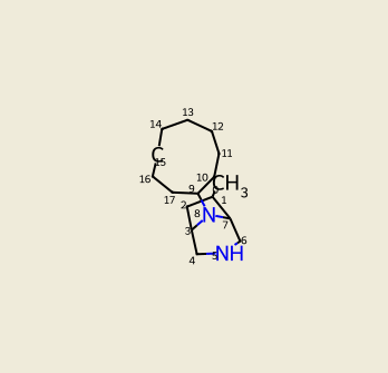 CC1CC2CNCC1N2C1CCCCCCCC1